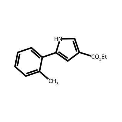 CCOC(=O)c1c[nH]c(-c2ccccc2C)c1